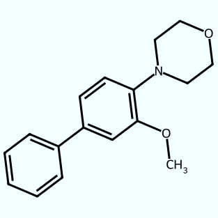 COc1cc(-c2ccccc2)ccc1N1CCOCC1